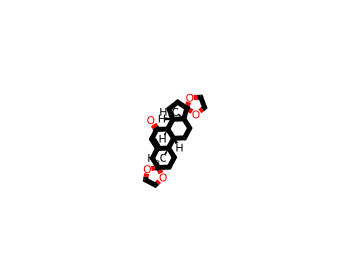 C[C@]12CCC3(CC1=CC(=O)[C@@H]1[C@@H]2CC[C@@]2(C)[C@H]1CCC21OCCO1)OCCO3